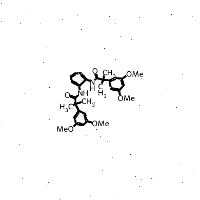 COc1cc(OC)cc(C(C)(C)C(=O)Nc2ccccc2NC(=O)C(C)(C)c2cc(OC)cc(OC)c2)c1